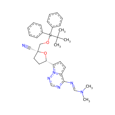 CN(C)/C=N/c1ncnn2c([C@@H]3CC[C@@](C#N)(CO[Si](c4ccccc4)(c4ccccc4)C(C)(C)C)O3)ccc12